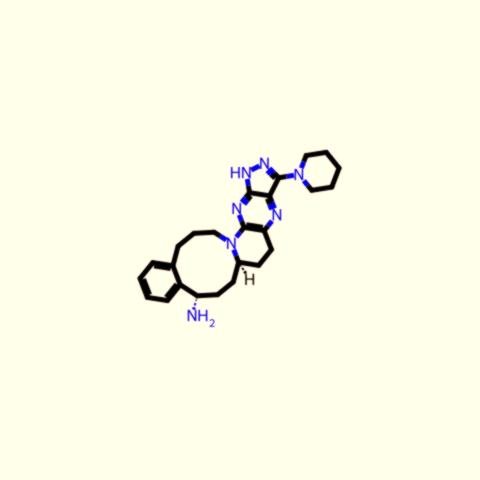 N[C@H]1CC[C@@H]2CCc3nc4c(N5CCCCC5)n[nH]c4nc3N2CCCc2ccccc21